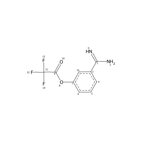 N=C(N)c1cccc(OC(=O)C(F)(F)F)c1